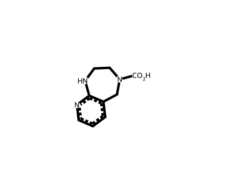 O=C(O)N1CCNc2ncccc2C1